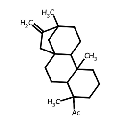 C=C1CC23CCC4C(C)(C(C)=O)CCCC4(C)C2CCC1(C)C3